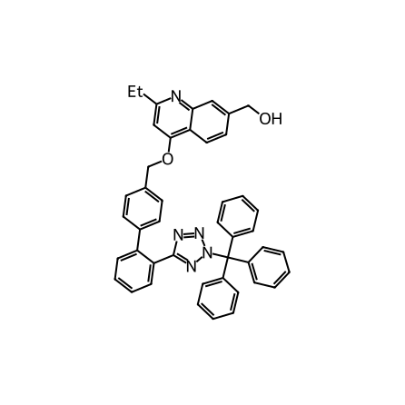 CCc1cc(OCc2ccc(-c3ccccc3-c3nnn(C(c4ccccc4)(c4ccccc4)c4ccccc4)n3)cc2)c2ccc(CO)cc2n1